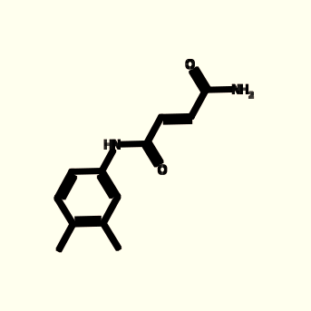 Cc1ccc(NC(=O)C=CC(N)=O)cc1C